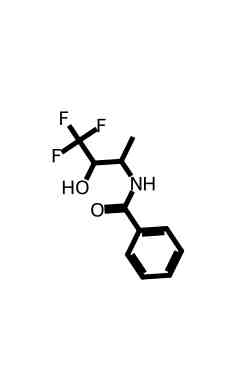 CC(NC(=O)c1ccccc1)C(O)C(F)(F)F